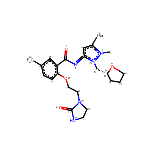 Cn1c(C(C)(C)C)cc(=NC(=O)c2cc(C(F)(F)F)ccc2OCCN2CCNC2=O)n1C[C@H]1CCCO1